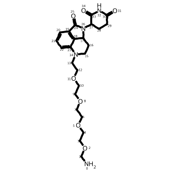 NCOCCOCCOCCOCCN1CCC2c3c(cccc31)C(=O)N2C1CCC(=O)NC1=O